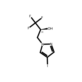 O[C@@H](Cn1cc(I)cn1)C(F)(F)F